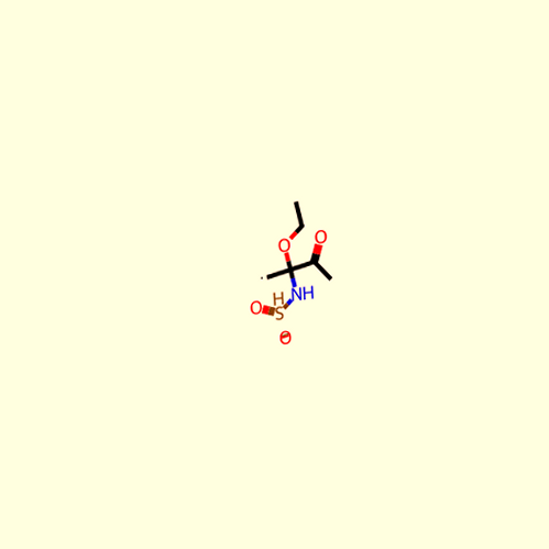 [CH2]C(N[SH](=O)=O)(OCC)C(C)=O